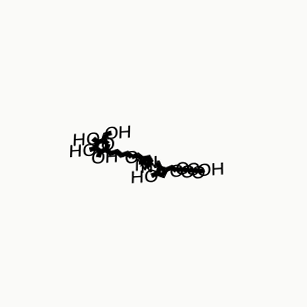 OCC1OC(CCCCOCc2cn(CC3C(O)CC3COOOOOO)nn2)C(O)C(O)C1O